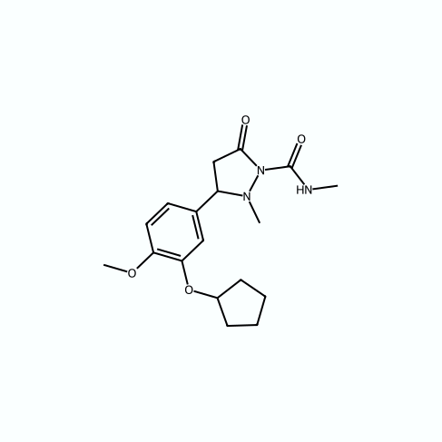 CNC(=O)N1C(=O)CC(c2ccc(OC)c(OC3CCCC3)c2)N1C